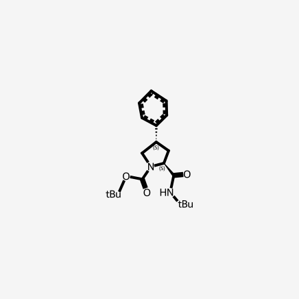 CC(C)(C)NC(=O)[C@@H]1C[C@@H](c2ccccc2)CN1C(=O)OC(C)(C)C